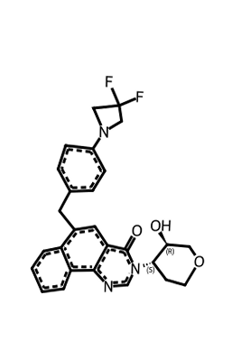 O=c1c2cc(Cc3ccc(N4CC(F)(F)C4)cc3)c3ccccc3c2ncn1[C@H]1CCOC[C@@H]1O